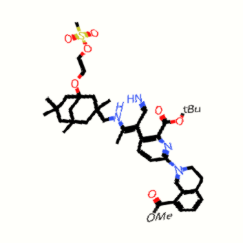 COC(=O)c1cccc2c1CN(c1ccc(/C(C=N)=C(\C)NCC3(C)CC4(C)CC(C)(C)CC(OCCOS(C)(=O)=O)(C3)C4)c(C(=O)OC(C)(C)C)n1)CC2